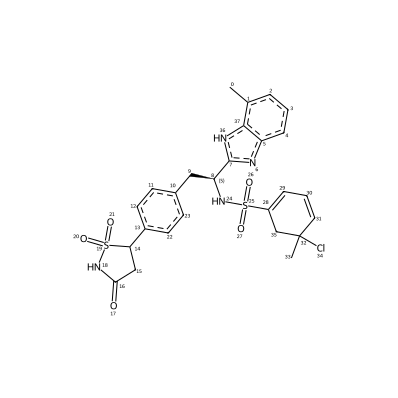 Cc1cccc2nc([C@H](Cc3ccc(C4CC(=O)NS4(=O)=O)cc3)NS(=O)(=O)C3=CC=CC(C)(Cl)C3)[nH]c12